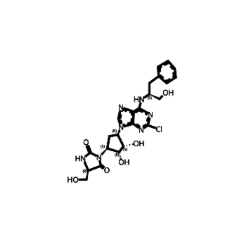 O=C1N[C@H](CO)C(=O)N1[C@H]1C[C@@H](n2cnc3c(N[C@H](CO)Cc4ccccc4)nc(Cl)nc32)[C@H](O)[C@@H]1O